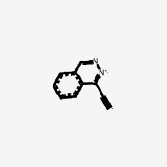 [C]#CC1=[N+]N=Cc2ccccc21